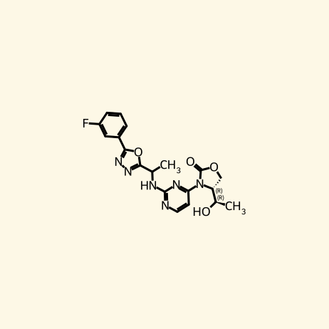 CC(Nc1nccc(N2C(=O)OC[C@@H]2[C@@H](C)O)n1)c1nnc(-c2cccc(F)c2)o1